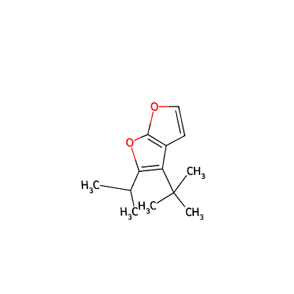 CC(C)c1oc2occc2c1C(C)(C)C